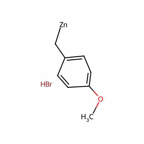 Br.COc1ccc([CH2][Zn])cc1